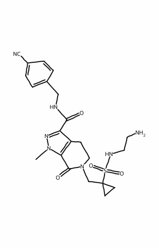 Cn1nc(C(=O)NCc2ccc(C#N)cc2)c2c1C(=O)N(CC1(S(=O)(=O)NCCN)CC1)CC2